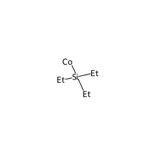 CC[Si]([Co])(CC)CC